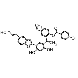 C=Cc1ccc(OC(=O)c2ccc(O)cc2)c(C(=C)c2cc(-c3cc4cc(/C=C/CO)ccc4o3)c(O)cc2O)c1